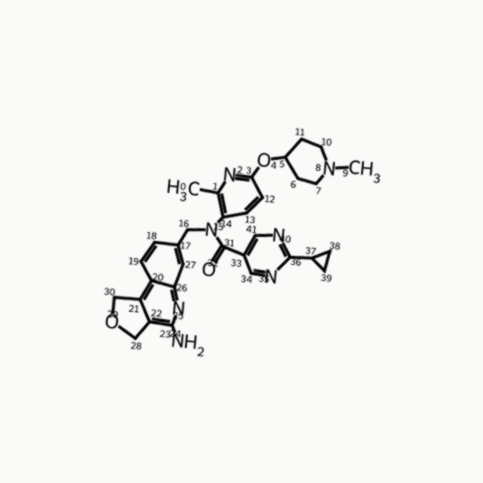 Cc1nc(OC2CCN(C)CC2)ccc1N(Cc1ccc2c3c(c(N)nc2c1)COC3)C(=O)c1cnc(C2CC2)nc1